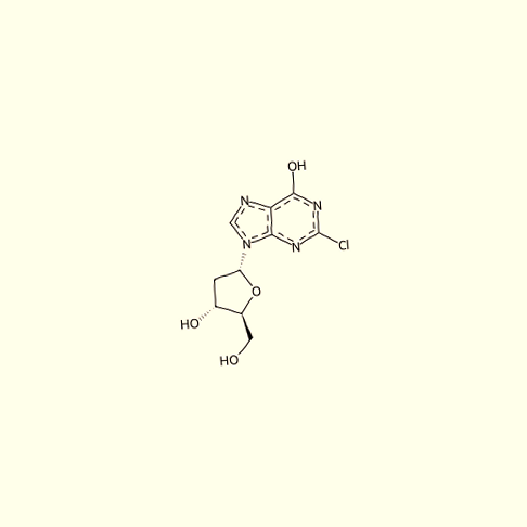 OC[C@@H]1O[C@@H](n2cnc3c(O)nc(Cl)nc32)C[C@H]1O